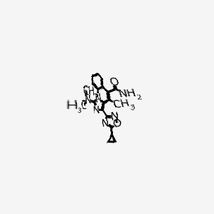 Cc1c(C(N)=O)c2ccccc2n2c(N(C)C)nc(-c3noc(C4CC4)n3)c12